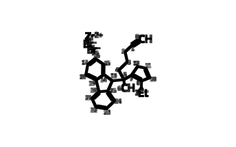 C#CCCCC(C)(C1=C(CC)C=CC1)C1c2ccccc2-c2ccccc21.[Br-].[Br-].[Zr+2]